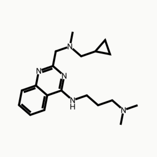 CN(C)CCCNc1nc(CN(C)CC2CC2)nc2ccccc12